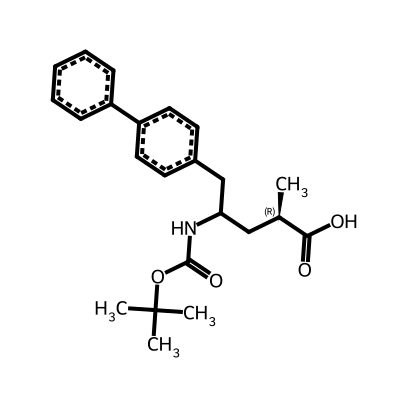 C[C@H](CC(Cc1ccc(-c2ccccc2)cc1)NC(=O)OC(C)(C)C)C(=O)O